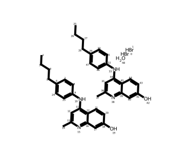 Br.Br.CCCCc1ccc(Nc2cc(C)nc3cc(O)ccc23)cc1.CCCCc1ccc(Nc2cc(C)nc3cc(O)ccc23)cc1.O